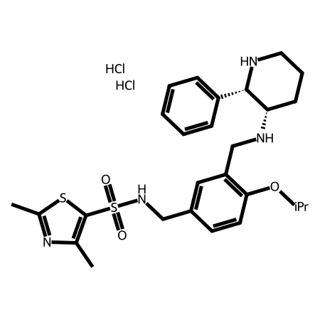 Cc1nc(C)c(S(=O)(=O)NCc2ccc(OC(C)C)c(CN[C@H]3CCCN[C@H]3c3ccccc3)c2)s1.Cl.Cl